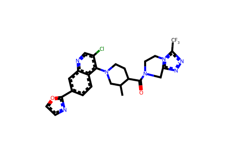 CC1CN(c2c(Cl)cnc3cc(-c4ncco4)ccc23)CCC1C(=O)N1CCn2c(nnc2C(F)(F)F)C1